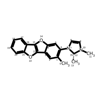 Cc1cc2c(cc1N1C=CN(C)[C@@H]1C)oc1c3ccccc3oc21